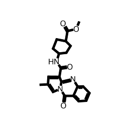 COC(=O)C1CCC(NC(=O)c2cc(C)cn3c(=O)c4ccccc4nc23)CC1